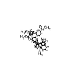 C=CC(=O)N1CCN(c2cc(O[C@@H](C)[C@@H]3CCCN3C)nc(-c3cc([C@@]4(C)CCCc5sc(N)c(C#N)c54)no3)n2)[C@H](C)C1